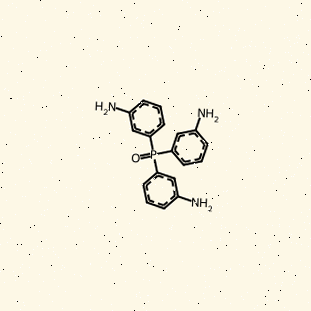 Nc1cccc(P(=O)(c2cccc(N)c2)c2cccc(N)c2)c1